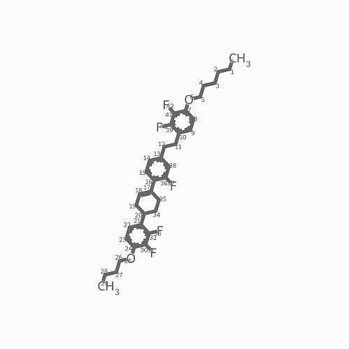 CCCCCCOc1ccc(CCc2ccc(C3=CCC(c4ccc(OCCCC)c(F)c4F)CC3)c(F)c2)c(F)c1F